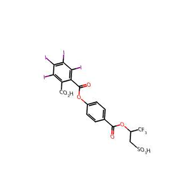 O=C(OC(CS(=O)(=O)O)C(F)(F)F)c1ccc(OC(=O)c2c(I)c(I)c(I)c(I)c2C(=O)O)cc1